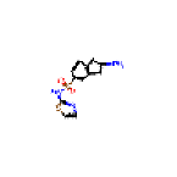 NC1Cc2ccc(S(=O)(=O)Nc3nccs3)cc2C1